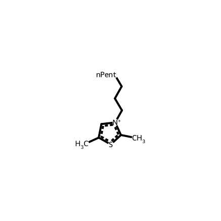 CCCCCCCC[n+]1cc(C)sc1C